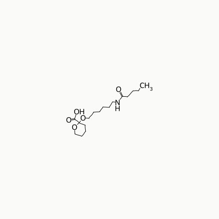 CCCCC(=O)NCCCCCCOC1(C(=O)O)CCCCO1